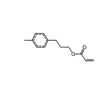 C=CC(=O)OCCCc1ccc(C)cc1